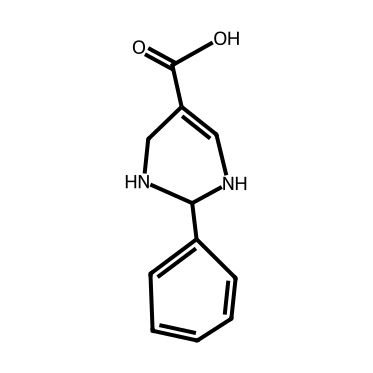 O=C(O)C1=CNC(c2ccccc2)NC1